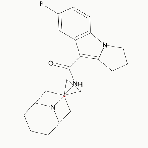 O=C(NC1CC2CCCC(C1)N2C1CC1)c1c2n(c3ccc(F)cc13)CCC2